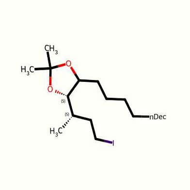 CCCCCCCCCCCCCCC1OC(C)(C)O[C@H]1[C@@H](C)CCI